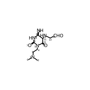 CN(C)CCN1C(=O)NC(=N)C(NCC=O)C1=O